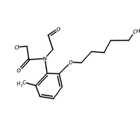 CCCCCCOc1cccc(C)c1N(CC=O)C(=O)CCl